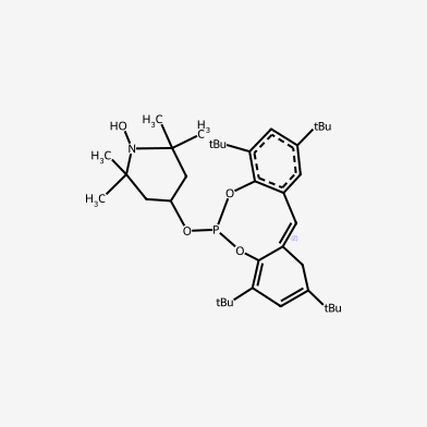 CC(C)(C)C1=CC(C(C)(C)C)=C2OP(OC3CC(C)(C)N(O)C(C)(C)C3)Oc3c(cc(C(C)(C)C)cc3C(C)(C)C)/C=C\2C1